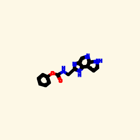 O=C(NCc1nc2cnc3[nH]ccc3c2[nH]1)Oc1ccccc1